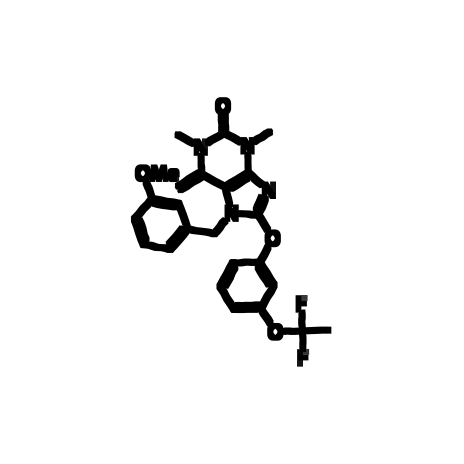 C=C1c2c(nc(Oc3cccc(OC(C)(F)F)c3)n2Cc2cccc(OC)c2)N(C)C(=O)N1C